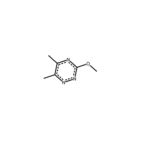 COc1nnc(C)c(C)n1